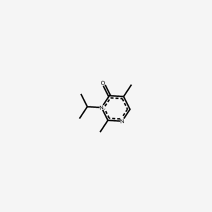 Cc1cnc(C)n(C(C)C)c1=O